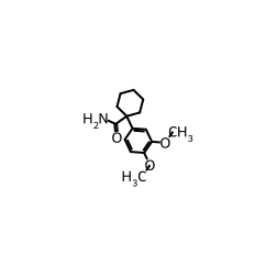 COc1ccc(C2(C(N)=O)CCCCC2)cc1OC